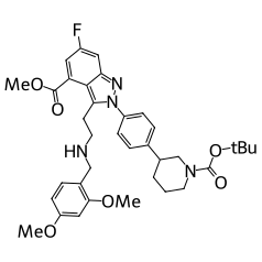 COC(=O)c1cc(F)cc2nn(-c3ccc(C4CCCN(C(=O)OC(C)(C)C)C4)cc3)c(CCNCc3ccc(OC)cc3OC)c12